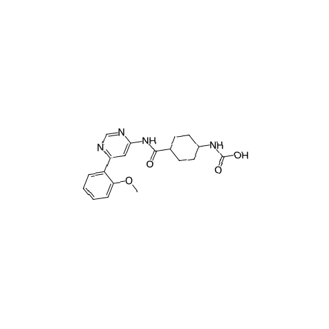 COc1ccccc1-c1cc(NC(=O)C2CCC(NC(=O)O)CC2)ncn1